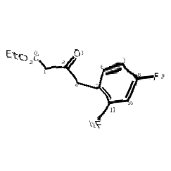 CCOC(=O)CC(=O)Cc1ccc(F)cc1F